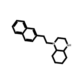 c1ccc2cc(CCN3CCNC4CCCCC43)ccc2c1